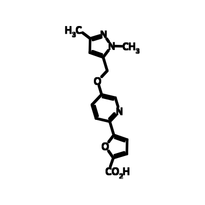 Cc1cc(COc2ccc(-c3ccc(C(=O)O)o3)nc2)n(C)n1